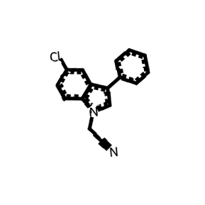 N#CCn1cc(-c2ccccc2)c2cc(Cl)ccc21